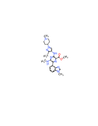 CNc1nc(Nc2cn(C3CCN(C)CC3)nc2C)c(C(=O)OC)nc1-c1cccc2c1ncn2C